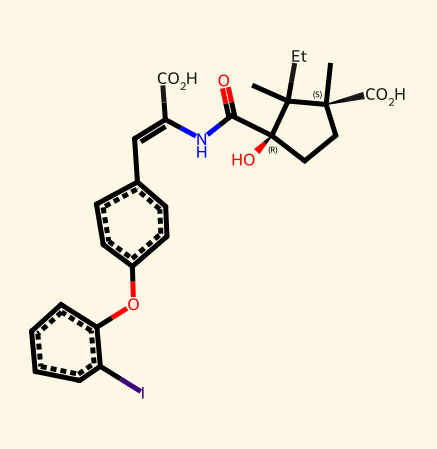 CCC1(C)[C@@](C)(C(=O)O)CC[C@]1(O)C(=O)NC(=Cc1ccc(Oc2ccccc2I)cc1)C(=O)O